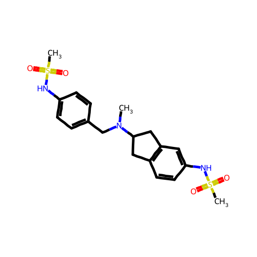 CN(Cc1ccc(NS(C)(=O)=O)cc1)C1Cc2ccc(NS(C)(=O)=O)cc2C1